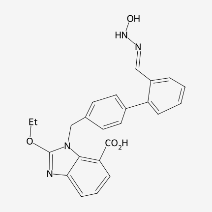 CCOc1nc2cccc(C(=O)O)c2n1Cc1ccc(-c2ccccc2C=NNO)cc1